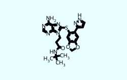 CC(C)(C)NC(=O)CCn1c(Sc2cc3c(cc2-c2cc[nH]n2)OCO3)nc2c(N)ncnc21